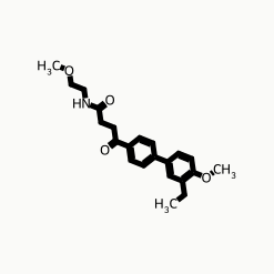 CCc1cc(-c2ccc(C(=O)CCC(=O)NCCOC)cc2)ccc1OC